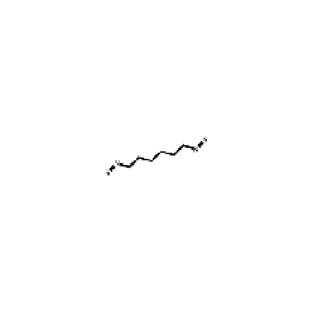 S=NCCCCCCN=S